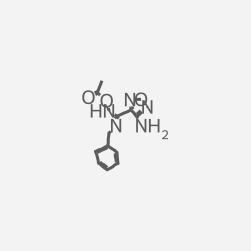 CC(=O)ONC(=NCc1ccccc1)c1nonc1N